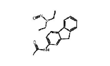 CC(=O)Nc1ccc2c(c1)Cc1ccccc1-2.CCN(CC)N=O